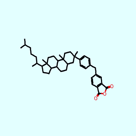 CC(C)CCCC(C)C1CCC2C3CCC4CC(C)(c5ccc(Cc6ccc7c(c6)C(=O)OC7=O)cc5)CCC4(C)C3CCC12C